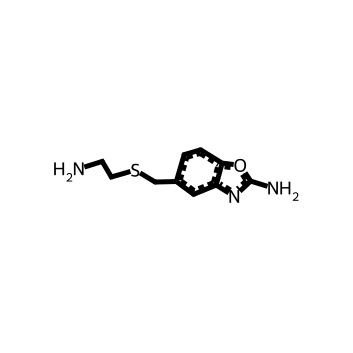 NCCSCc1ccc2oc(N)nc2c1